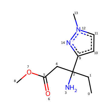 CCC(N)(CC(=O)OC)c1ccn(C)n1